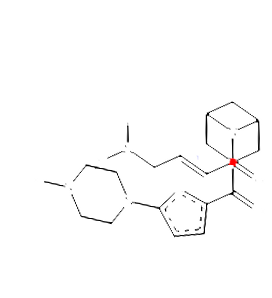 CN(C)C/C=C/C(=O)N1C2CC1CN(C(=O)c1ccc(N3CCN(C)CC3)s1)C2